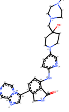 CN1CCN(CC2(O)CCN(c3ccc(Nc4ccc(-c5cnc6cnccn56)c5c4C(=O)NC5)nc3)CC2)CC1